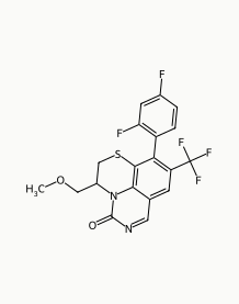 COCC1CSc2c(-c3ccc(F)cc3F)c(C(F)(F)F)cc3cnc(=O)n1c23